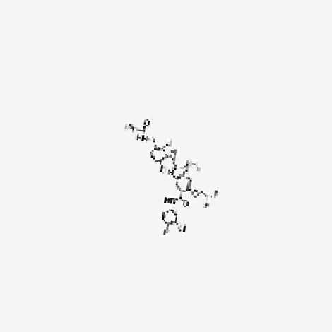 CC(C)C(=O)NCc1ccc(Cl)c(Nc2nc3cc(C(=O)Nc4ccc(F)c(Cl)c4)c(OCC(F)F)cc3n2C)c1Cl